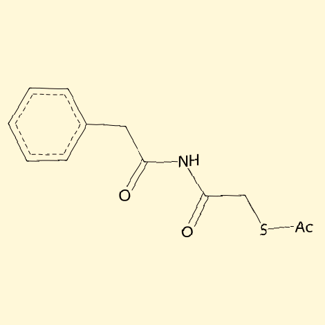 CC(=O)SCC(=O)NC(=O)Cc1ccccc1